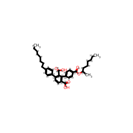 CCCCCCCCc1ccc(-c2ccc(C(=O)O)c(-c3ccc(C(=O)OC(C)CCCCCC)cc3)c2C(=O)O)cc1